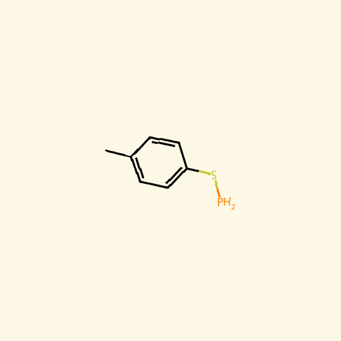 Cc1ccc(SP)cc1